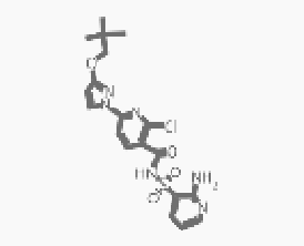 CC(C)(C)COc1ccn(-c2ccc(C(=O)NS(=O)(=O)c3cccnc3N)c(Cl)n2)n1